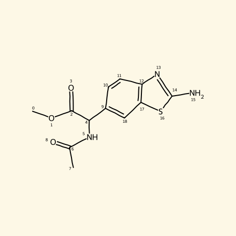 COC(=O)C(NC(C)=O)c1ccc2nc(N)sc2c1